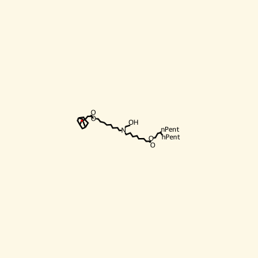 CCCCCC(CCCCC)CCOC(=O)CCCCCCCN(CCO)CCCCCCCCOC(=O)CC12CC3CC(CC(C3)C1)C2